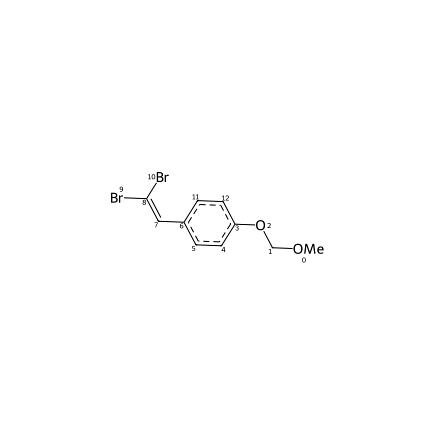 COCOc1ccc(C=C(Br)Br)cc1